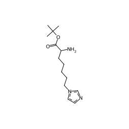 CC(C)(C)OC(=O)C(N)CCCCCn1ccnc1